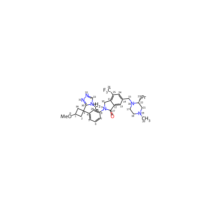 COC1CC(c2cccc(N3Cc4c(cc(CN5CCN(C)C[C@@H]5C(C)C)cc4C(F)(F)F)C3=O)c2)(c2nncn2C)C1